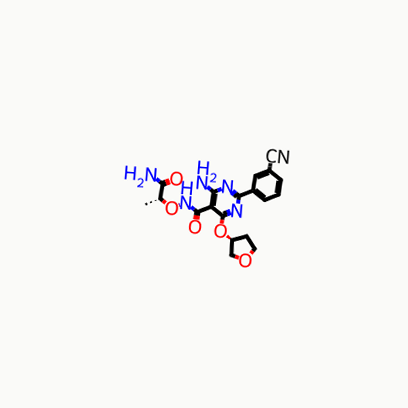 C[C@@H](ONC(=O)c1c(N)nc(-c2cccc(C#N)c2)nc1O[C@H]1CCOC1)C(N)=O